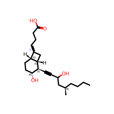 CCCC[C@@H](C)CC(O)C#C[C@@H]1[C@H]2C/C(=C\CCC(=O)O)[C@H]2CC[C@H]1O